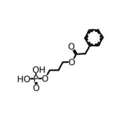 O=C(Cc1ccccc1)OCCCOP(=O)(O)O